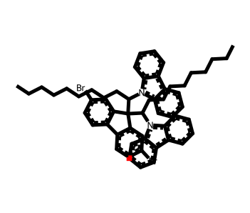 CCCCCCCCCC(n1c2ccccc2c2ccccc21)C1(C(CCCCCCCCC)n2c3ccccc3c3ccccc32)c2cc(Br)ccc2-c2ccc(Br)cc21